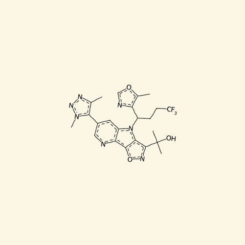 Cc1nnn(C)c1-c1cnc2c3onc(C(C)(C)O)c3n(C(CCC(F)(F)F)c3ncoc3C)c2c1